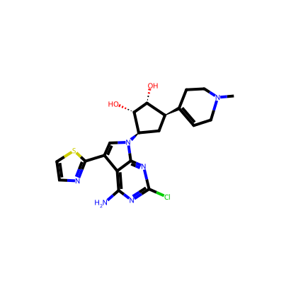 CN1CC=C([C@H]2C[C@@H](n3cc(-c4nccs4)c4c(N)nc(Cl)nc43)[C@H](O)[C@@H]2O)CC1